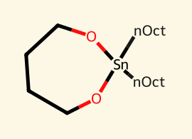 CCCCCCC[CH2][Sn]1([CH2]CCCCCCC)[O]CCCC[O]1